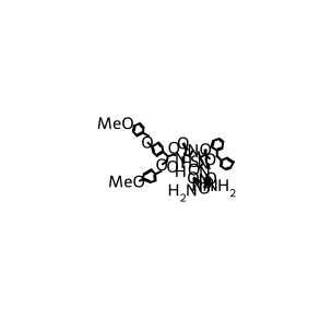 COc1ccc(COC(=O)C(C(=O)N[C@@H]2C(=O)N3CC(C(=O)OC(c4ccccc4)c4ccccc4)(N4CCN(N(C(=O)NN)S(N)(=O)=O)C4=O)S[C@H]23)c2ccc(OCc3ccc(OC)cc3)cc2)cc1